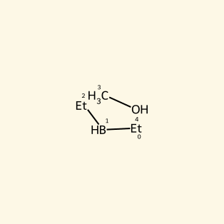 CCBCC.CO